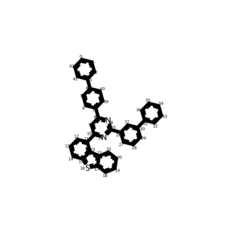 c1ccc(-c2ccc(-c3cc(-c4cccc5sc6ccccc6c45)nc(-c4cccc(-c5ccccc5)c4)n3)cc2)cc1